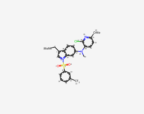 CNCc1cn(S(=O)(=O)c2cccc(C(F)(F)F)c2)c2cc(N(C)c3ccc(OC)nc3Cl)ccc12